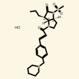 CCC[C@H]1C(=O)N(S(C)(=O)=O)[C@H]2CCN(C(=O)C=Cc3ccc(CN4CCCCC4)cc3)[C@H]12.Cl